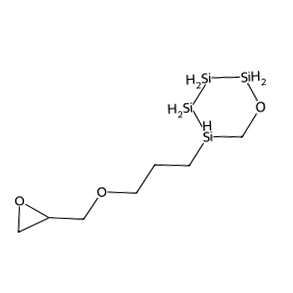 C(COCC1CO1)C[SiH]1CO[SiH2][SiH2][SiH2]1